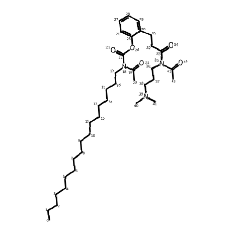 CCCCCCCCCCCCCCCCCCN(C(C)=O)C(=O)Oc1ccccc1CCC(=O)N(CCCN(C)C)C(C)=O